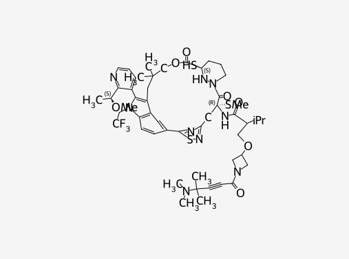 CO[C@@H](C)c1ncccc1-c1c2c3cc(ccc3n1CC(F)(F)F)-c1nc(ns1)C[C@@](NC(=O)C(COC1CN(C(=O)C#CC(C)(C)N(C)C)C1)C(C)C)(SC)C(=O)N1CCC[C@@](S)(N1)C(=O)OCC(C)(C)C2